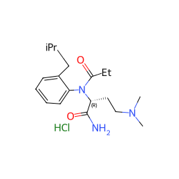 CCC(=O)N(c1ccccc1CC(C)C)[C@H](CCN(C)C)C(N)=O.Cl